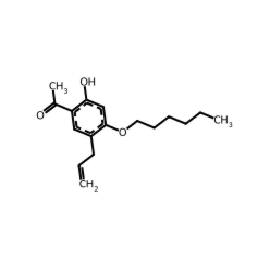 C=CCc1cc(C(C)=O)c(O)cc1OCCCCCC